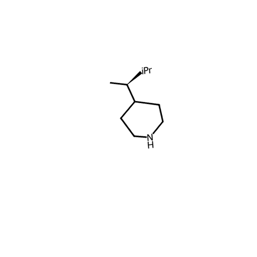 CC(C)[C@H](C)C1CCNCC1